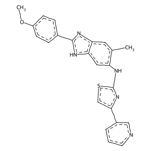 COc1ccc(-c2nc3cc(C)c(Nc4nc(-c5cccnc5)cs4)cc3[nH]2)cc1